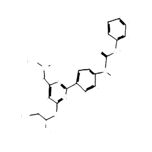 C[C@@H](CO)Nc1cc(C[S+](C)[O-])nc(-c2ccc(N(C)C(=O)Nc3ccccc3)cc2)n1